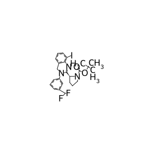 CC(C)(C)OC(=O)N1CCC[C@H]1C1=Nc2c(I)cccc2CN1c1cccc(C(F)F)c1